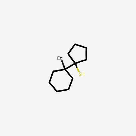 CCC1(C2(S)CCCC2)CCCCC1